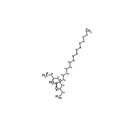 CCCCCCCCCCCCCCCCC(CCCC)(CCCC)C(=O)O